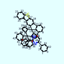 c1ccc(-c2cc(-c3cccc4c3C3(c5cc6c(cc5-4)sc4ccccc46)c4ccccc4C4(c5ccccc5-c5ccccc54)c4ccccc43)nc(-c3ccccc3)n2)cc1